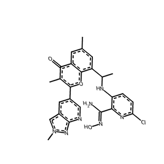 Cc1cc(C(C)Nc2ccc(Cl)nc2C(N)=NO)c2oc(-c3cnc4nn(C)cc4c3)c(C)c(=O)c2c1